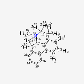 [2H]c1c([2H])c2c3c(c1[2H])C([2H])([2H])C([2H])([2H])N(C)[C@]3([2H])C([2H])([2H])c1ccccc1-2